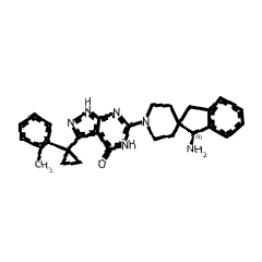 Cc1ccccc1C1(c2n[nH]c3nc(N4CCC5(CC4)Cc4ccccc4[C@H]5N)[nH]c(=O)c23)CC1